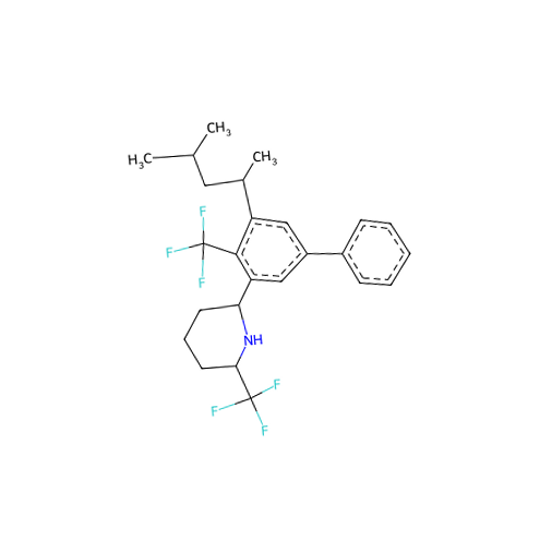 CC(C)CC(C)c1cc(-c2ccccc2)cc(C2CCCC(C(F)(F)F)N2)c1C(F)(F)F